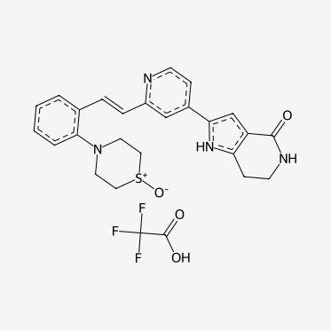 O=C(O)C(F)(F)F.O=C1NCCc2[nH]c(-c3ccnc(C=Cc4ccccc4N4CC[S+]([O-])CC4)c3)cc21